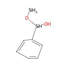 O[SiH](O[SiH3])c1ccccc1